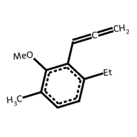 C=C=Cc1c(CC)ccc(C)c1OC